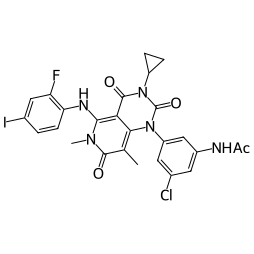 CC(=O)Nc1cc(Cl)cc(-n2c(=O)n(C3CC3)c(=O)c3c(Nc4ccc(I)cc4F)n(C)c(=O)c(C)c32)c1